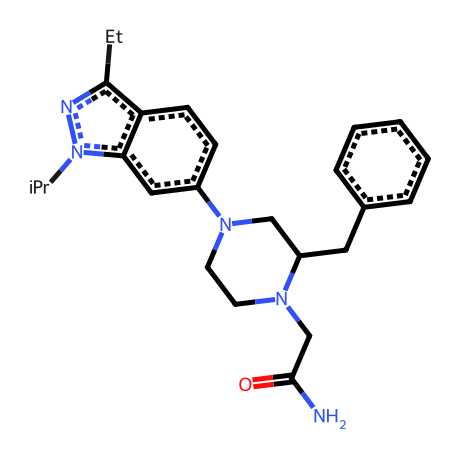 CCc1nn(C(C)C)c2cc(N3CCN(CC(N)=O)C(Cc4ccccc4)C3)ccc12